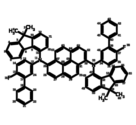 CC1(C)c2ccccc2-c2c(N(c3ccc(F)c(-c4ccccc4)c3)c3ccc4ccc5c(N(c6ccc(F)c(-c7ccccc7)c6)c6cccc7c6-c6ccccc6C7(C)C)ccc6ccc3c4c65)cccc21